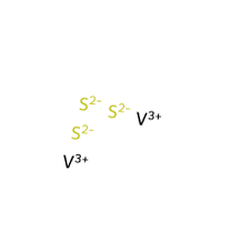 [S-2].[S-2].[S-2].[V+3].[V+3]